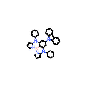 c1ccc(N2c3cc(-n4c5ccccc5c5ccccc54)cc4c3B(n3cccc32)n2cccc2N4c2ccccc2)cc1